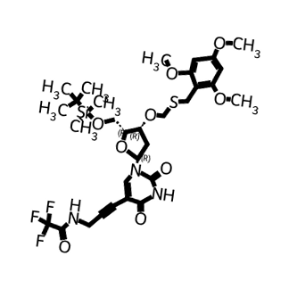 COc1cc(OC)c(CSCO[C@@H]2C[C@H](n3cc(C#CCNC(=O)C(F)(F)F)c(=O)[nH]c3=O)O[C@@H]2CO[Si](C)(C)C(C)(C)C)c(OC)c1